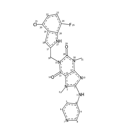 Cn1c(Nc2ccncc2)nc2c1c(=O)n(Cc1cc3c(Cl)ccc(F)c3[nH]1)c(=O)n2C